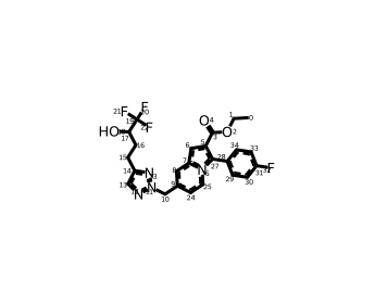 CCOC(=O)c1cc2cc(Cn3ncc(CCC(O)C(F)(F)F)n3)ccn2c1-c1ccc(F)cc1